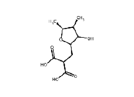 C[C@@H]1O[C@H](CC(C(=O)O)C(=O)O)C(O)[C@@H]1C